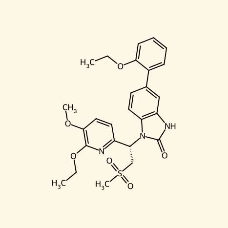 CCOc1ccccc1-c1ccc2c(c1)[nH]c(=O)n2[C@H](CS(C)(=O)=O)c1ccc(OC)c(OCC)n1